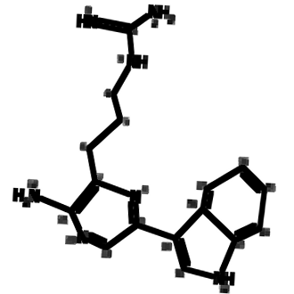 N=C(N)NCCCc1nc(-c2c[nH]c3ccccc23)cnc1N